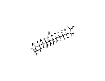 O=S(=O)([O-])C(F)C(F)(F)C(F)(F)C(F)(F)C(F)(F)C(F)(F)C(F)(F)C(F)(F)C(F)(F)C(F)(F)C(F)C(F)F.[K+]